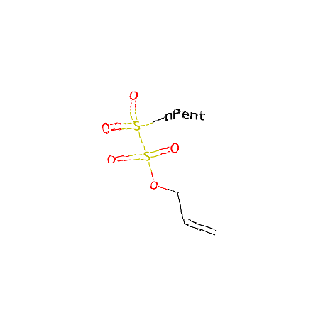 C=CCOS(=O)(=O)S(=O)(=O)CCCCC